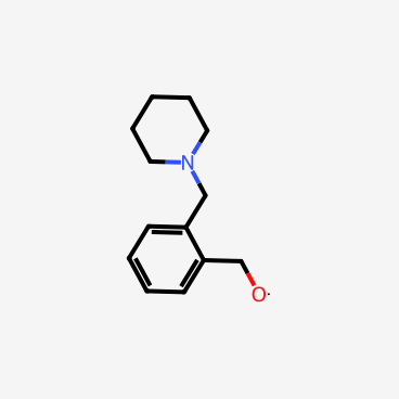 [O]Cc1ccccc1CN1CCCCC1